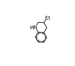 CCC1CNc2ccccc2C1